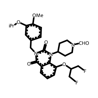 COc1ccc(Cn2c(=O)c3cccc(OC(CF)CF)c3n(C3CCN(C=O)CC3)c2=O)cc1OC(C)C